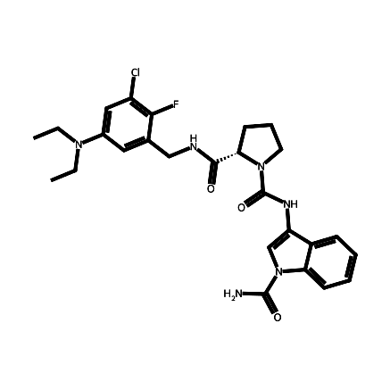 CCN(CC)c1cc(Cl)c(F)c(CNC(=O)[C@@H]2CCCN2C(=O)Nc2cn(C(N)=O)c3ccccc23)c1